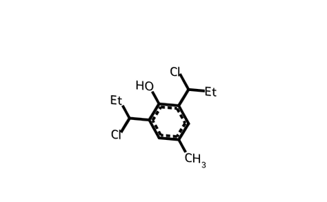 CCC(Cl)c1cc(C)cc(C(Cl)CC)c1O